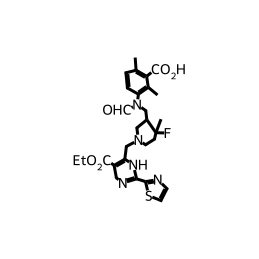 CCOC(=O)C1=C(CN2CCC(C)(F)C(CN(C=O)c3ccc(C)c(C(=O)O)c3C)C2)NC(c2nccs2)=NC1